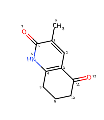 Cc1cc2c([nH]c1=O)CCCC2=O